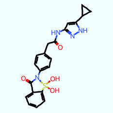 O=C(Cc1ccc(N2C(=O)c3ccccc3S2(O)O)cc1)Nc1cc(C2CC2)[nH]n1